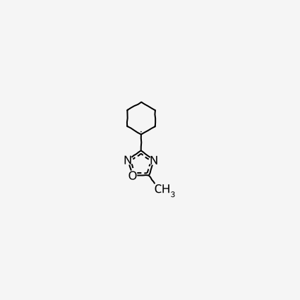 Cc1nc([C]2CCCCC2)no1